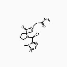 Cn1ncnc1C(=O)N1CCCC12CN(CC(N)=O)C2=O